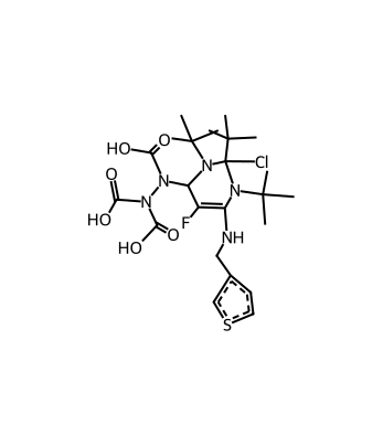 CC(C)(C)N1C(NCc2ccsc2)=C(F)C(N(C(=O)O)N(C(=O)O)C(=O)O)N(C(C)(C)C)C1(Cl)C(C)(C)C